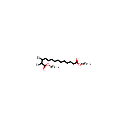 CCCCCOC(=O)CCCCCCCCCCC(CC)C(CC)C(=O)OCCCCC